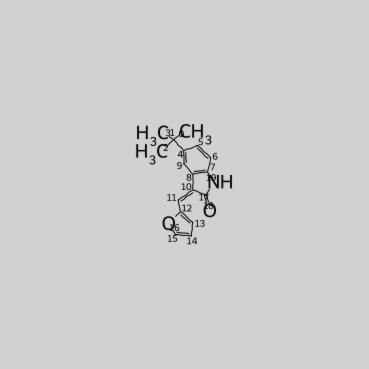 CC(C)(C)c1ccc2c(c1)/C(=C/c1ccco1)C(=O)N2